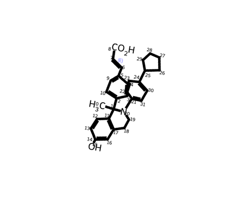 CC1(c2ccc(/C=C/C(=O)O)cc2)c2ccc(O)cc2CCN1c1ccc(C2CCCC2)cc1